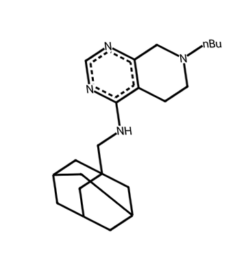 CCCCN1CCc2c(ncnc2NCC23CC4CC(CC(C4)C2)C3)C1